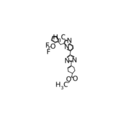 CCOC(=O)C1CC=C(c2ncc(-c3ccc4nc(C)c(Cc5ccccc5OC(F)F)n4c3)cn2)CC1